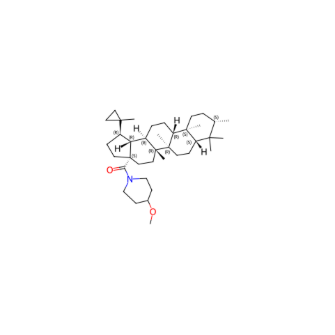 COC1CCN(C(=O)[C@]23CC[C@@H](C4(C)CC4)[C@@H]2[C@H]2CC[C@@H]4[C@@]5(C)CC[C@H](C)C(C)(C)[C@@H]5CC[C@@]4(C)[C@]2(C)CC3)CC1